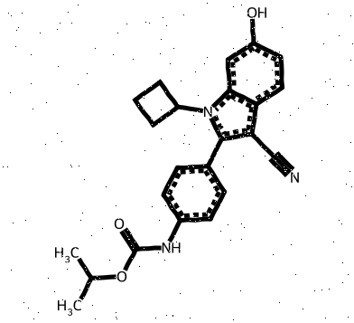 CC(C)OC(=O)Nc1ccc(-c2c(C#N)c3ccc(O)cc3n2C2CCC2)cc1